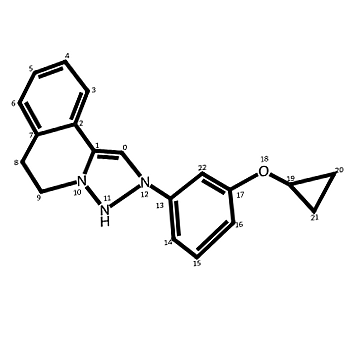 C1=C2c3ccccc3CCN2NN1c1cccc(OC2CC2)c1